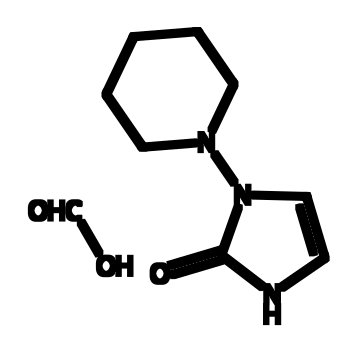 O=CO.O=c1[nH]ccn1N1CCCCC1